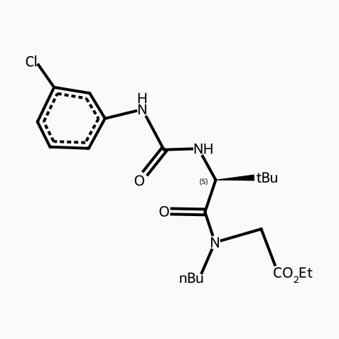 CCCCN(CC(=O)OCC)C(=O)[C@@H](NC(=O)Nc1cccc(Cl)c1)C(C)(C)C